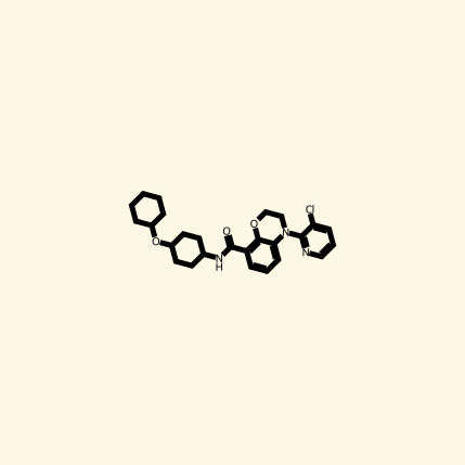 O=C(NC1CCC(OC2CCCCC2)CC1)c1cccc2c1OCCN2c1ncccc1Cl